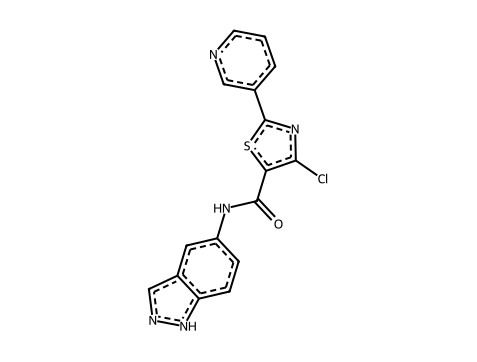 O=C(Nc1ccc2[nH]ncc2c1)c1sc(-c2cccnc2)nc1Cl